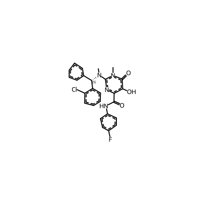 CN(c1nc(C(=O)Nc2ccc(F)cc2)c(O)c(=O)n1C)[C@@H](c1ccccc1)c1ccccc1Cl